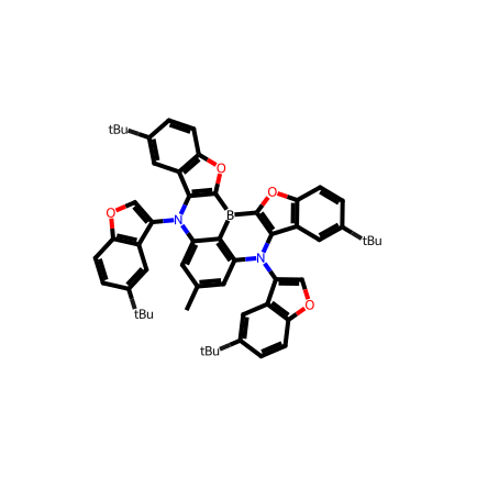 Cc1cc2c3c(c1)N(c1coc4ccc(C(C)(C)C)cc14)c1c(oc4ccc(C(C)(C)C)cc14)B3c1oc3ccc(C(C)(C)C)cc3c1N2c1coc2ccc(C(C)(C)C)cc12